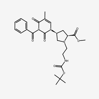 COC(=O)[C@@H]1C[C@H](n2cc(C)c(=O)n(C(=O)c3ccccc3)c2=O)CN1CCNC(=O)OC(C)(C)C